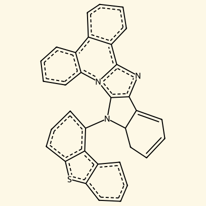 C1=CCC2C(=C1)c1nc3c4ccccc4c4ccccc4n3c1N2c1cccc2sc3ccccc3c12